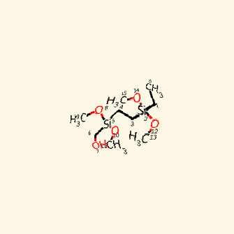 CC[Si](CC[Si](CO)(OC)OC)(OC)OC